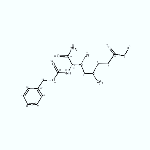 CC(CCC(=O)CF)CC(C(C)C)[C@H](NC(=O)OCc1ccccc1)C(N)=O